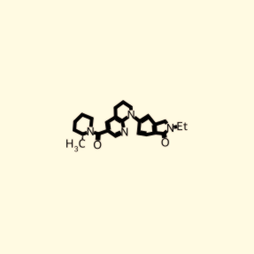 CCN1Cc2cc(N3CCCc4cc(C(=O)N5CCCC[C@H]5C)cnc43)ccc2C1=O